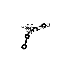 C=C(/C(=C\C(C)OCc1ccc(Cl)cn1)C(F)(F)F)c1nc(O)nc(-c2ccc(C#Cc3ccccc3)cc2)n1